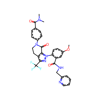 COc1ccc(-n2nc(C(F)(F)F)c3c2C(=O)N(c2ccc(C(=O)N(C)C)cc2)CC3)c(C(=O)NCc2ccccn2)c1